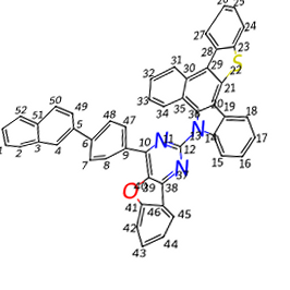 c1ccc2cc(-c3ccc(-c4nc(-n5c6ccccc6c6c7sc8ccccc8c7c7ccccc7c65)nc5c4oc4ccccc45)cc3)ccc2c1